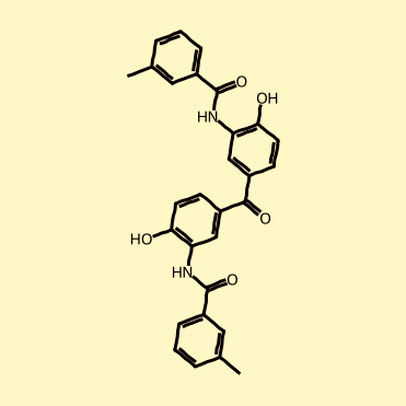 Cc1cccc(C(=O)Nc2cc(C(=O)c3ccc(O)c(NC(=O)c4cccc(C)c4)c3)ccc2O)c1